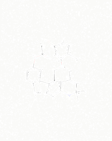 COc1ccc(OC(=O)C(C)C)cc1-c1ccc2c(c1COc1cc(F)ccc1C)C(C)=CC(C)(C)N2